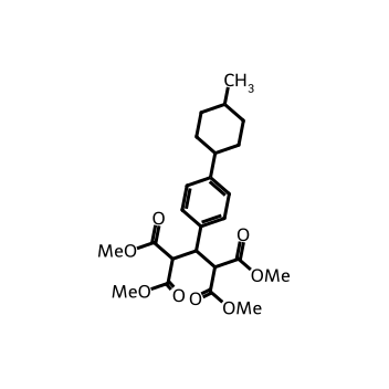 COC(=O)C(C(=O)OC)C(c1ccc(C2CCC(C)CC2)cc1)C(C(=O)OC)C(=O)OC